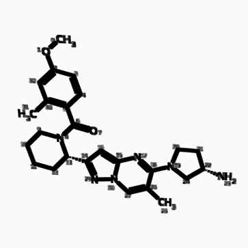 COc1ccc(C(=O)N2CCCC[C@H]2c2cc3nc(N4CC[C@H](N)C4)c(C)cn3n2)c(C)c1